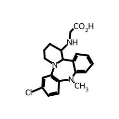 CN1c2ccccc2C2C(NCC(=O)O)CCCN2c2cc(Cl)ccc21